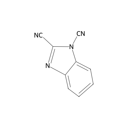 N#Cc1nc2ccccc2n1C#N